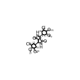 COc1cc(C2=C3C(=O)NC(c4cc(Cl)c(OC)c(OC)c4)=C3C(=O)N2)cc(Cl)c1OC